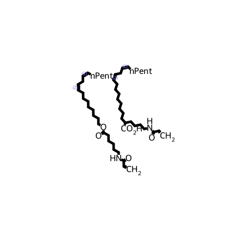 C=CC(=O)NCCCCC(CCCCCCCC/C=C\C/C=C\CCCCC)C(=O)O.C=CC(=O)NCCCCCC(=O)OCCCCCCCC/C=C\C/C=C\CCCCC